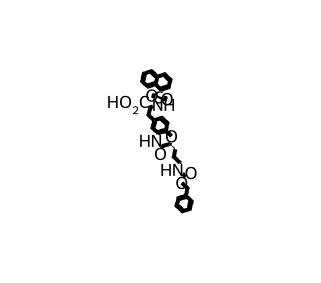 O=C(NCCC[C@H]1Oc2ccc(C[C@H](NS(=O)(=O)c3cccc4ccccc34)C(=O)O)cc2NC1=O)OCc1ccccc1